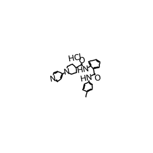 Cc1ccc(NC(=O)c2ccccc2NC(=O)C2CCN(c3ccncc3)CC2)cc1.Cl